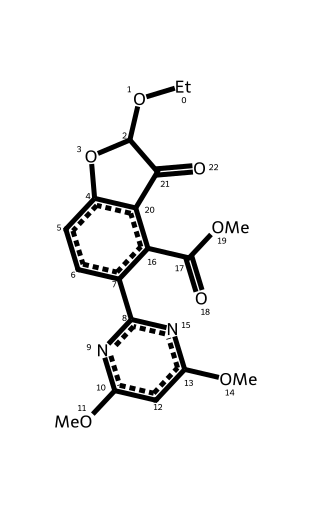 CCOC1Oc2ccc(-c3nc(OC)cc(OC)n3)c(C(=O)OC)c2C1=O